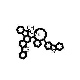 CC1(C)c2ccccc2-c2c1c(-c1ccccccc(-c3ccc4sc5ccccc5c4c3)c3ccccc13)cc1c2ccc2c3ccccc3sc12